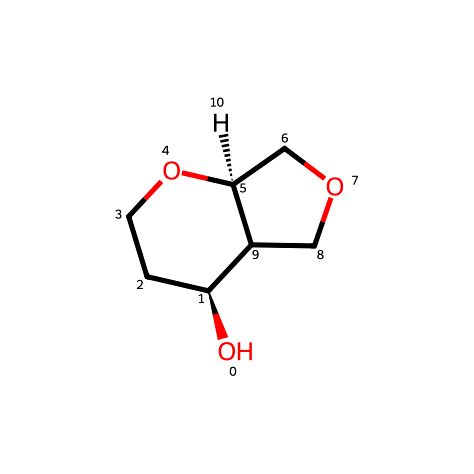 O[C@H]1CCO[C@H]2COCC21